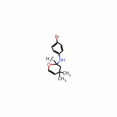 CC1(C)C=COC(C)(Nc2ccc(Br)cc2)C1